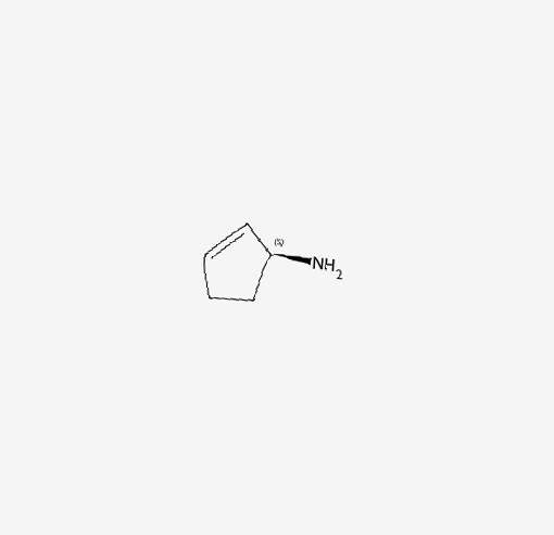 N[C@@H]1C=CCC1